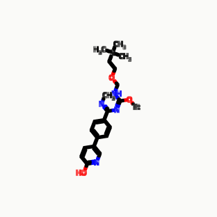 CCO/C(=N/C(=N\C)c1ccc(-c2ccc(O)nc2)cc1)NCOCC[Si](C)(C)C